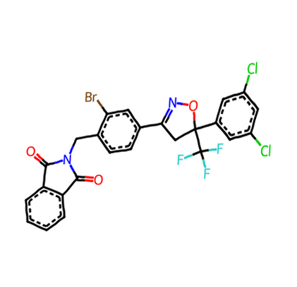 O=C1c2ccccc2C(=O)N1Cc1ccc(C2=NOC(c3cc(Cl)cc(Cl)c3)(C(F)(F)F)C2)cc1Br